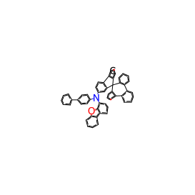 c1ccc(-c2ccc(N(c3ccc4c(c3)C3(c5ccccc5-c5ccccc5-c5ccccc53)c3ccccc3-4)c3cccc4c3oc3ccccc34)cc2)cc1